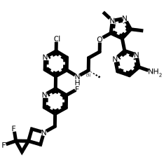 Cc1nn(C)c(OCC[C@H](C)Nc2cc(Cl)ncc2-c2ncc(CN3CC4(C3)CC4(F)F)cc2F)c1-c1nccc(N)n1